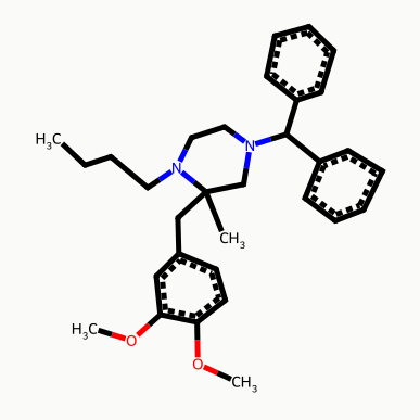 CCCCN1CCN(C(c2ccccc2)c2ccccc2)CC1(C)Cc1ccc(OC)c(OC)c1